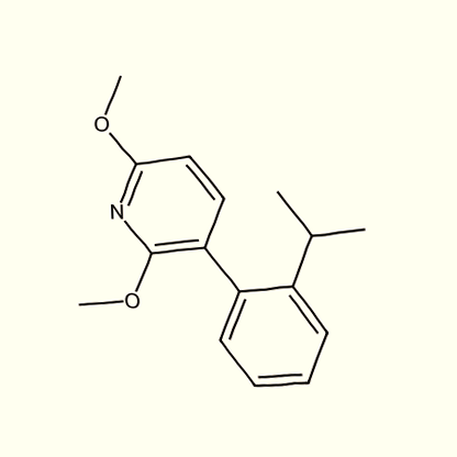 COc1ccc(-c2ccccc2C(C)C)c(OC)n1